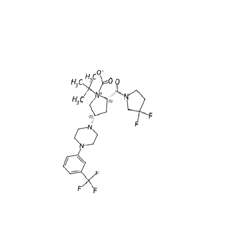 CC(C)(C)[N+]1(C(=O)[O-])C[C@@H](N2CCN(c3cccc(C(F)(F)F)c3)CC2)C[C@H]1C(=O)N1CCC(F)(F)C1